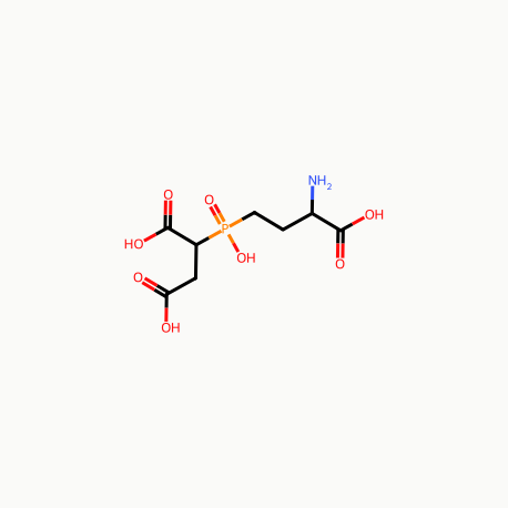 NC(CCP(=O)(O)C(CC(=O)O)C(=O)O)C(=O)O